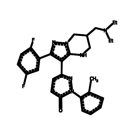 CCN(CC)CC1CNc2c(-c3ccc(=O)n(-c4ccccc4C)n3)c(-c3cc(F)ccc3F)nn2C1